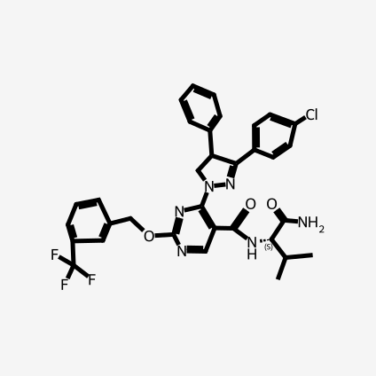 CC(C)[C@H](NC(=O)c1cnc(OCc2cccc(C(F)(F)F)c2)nc1N1CC(c2ccccc2)C(c2ccc(Cl)cc2)=N1)C(N)=O